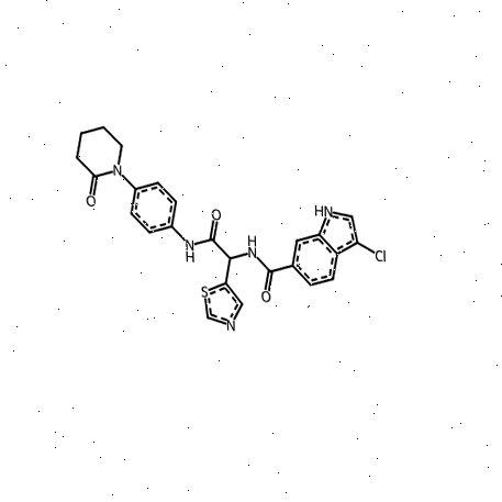 O=C(NC(C(=O)Nc1ccc(N2CCCCC2=O)cc1)c1cncs1)c1ccc2c(Cl)c[nH]c2c1